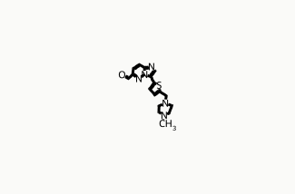 CN1CCN(Cc2ccc(-c3cnc4ccc(C=O)nn34)s2)CC1